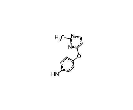 Cc1nccc(Oc2ccc([NH])cc2)n1